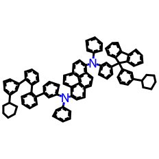 c1ccc(N(c2cccc(-c3ccccc3-c3ccccc3-c3cccc(C4CCCCC4)c3)c2)c2ccc3ccc4c(N(c5ccccc5)c5cccc(C6(c7cccc(C8CCCCC8)c7)c7ccccc7-c7ccccc76)c5)ccc5ccc2c3c54)cc1